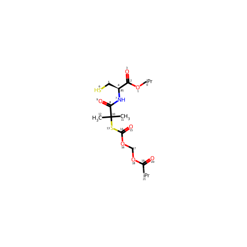 CC(C)OC(=O)[C@H](CS)NC(=O)C(C)(C)SC(=O)OCOC(=O)C(C)C